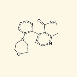 Cc1nccc(-c2ccccc2N2CCOCC2)c1C(N)=O